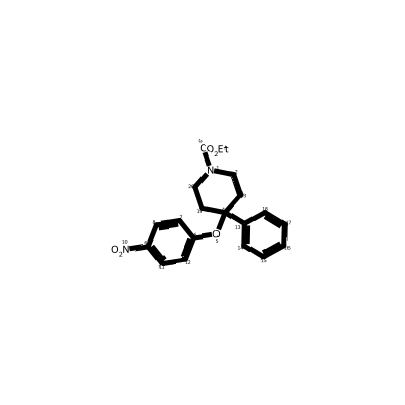 CCOC(=O)N1CCC(Oc2ccc([N+](=O)[O-])cc2)(c2ccccc2)CC1